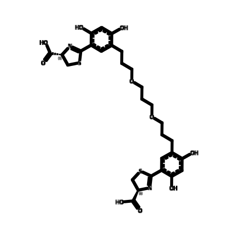 O=C(O)[C@H]1CSC(c2cc(CCCOCCCOCCCc3cc(C4=N[C@@H](C(=O)O)CS4)c(O)cc3O)c(O)cc2O)=N1